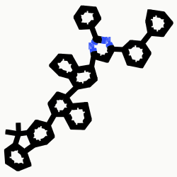 CC1(C)c2ccccc2-c2ccc(-c3ccc(-c4ccc(-c5cc(-c6cccc(-c7ccccc7)c6)nc(-c6ccccc6)n5)c5ccccc45)c4ccccc34)cc21